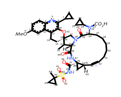 COc1ccc2nc(C3CC3)c3c(c2c1)CC[C@@]1(CN2C(=O)[C@@H](N(C(=O)O)C4CC4)CCCCC/C=C\[C@@H]4C[C@@]4(C(=O)NS(=O)(=O)C4(C)CC4)NC(=O)[C@@H]2C1C)O3